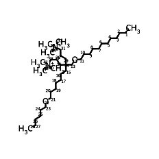 CCCCCCCCCCCCOCC(CCCCCCCOCCCCCC)(CCC[N+](C)(C)C)CCC[N+](C)(C)C